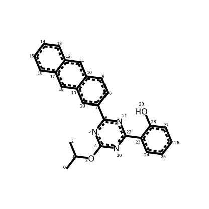 CC(C)Oc1nc(-c2ccc3cc4ccccc4cc3c2)nc(-c2ccccc2O)n1